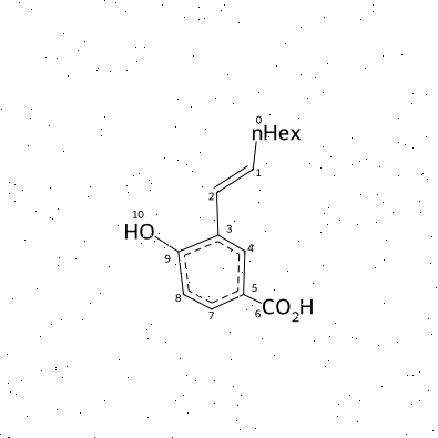 CCCCCCC=Cc1cc(C(=O)O)ccc1O